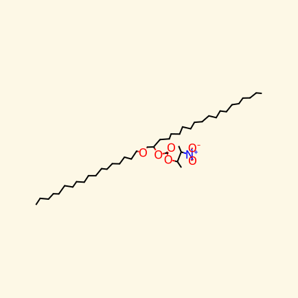 CCCCCCCCCCCCCCCCCCOCC(CCCCCCCCCCCCCCCCCC)OC(=O)OC(C)C(C)[N+](=O)[O-]